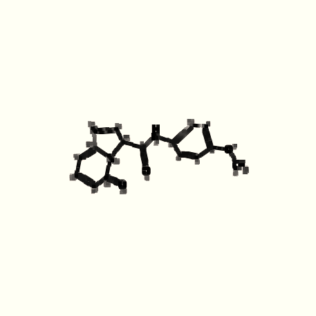 O=C(Nc1ccc(OC(F)(F)F)cc1)C1C=Nc2cccc(=O)n21